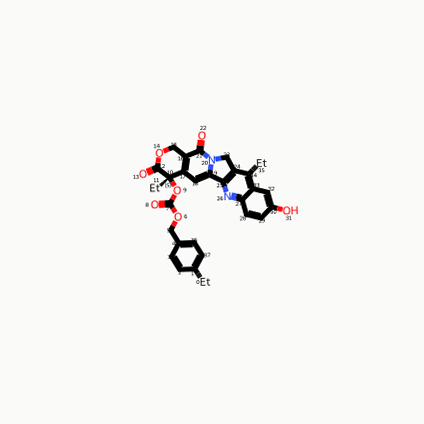 CCc1ccc(COC(=O)O[C@]2(CC)C(=O)OCc3c2cc2n(c3=O)Cc3c-2nc2ccc(O)cc2c3CC)cc1